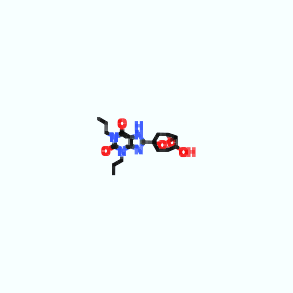 CCCn1c(=O)c2[nH]c(C34CC5OC(C3)C(O4)C5O)nc2n(CCC)c1=O